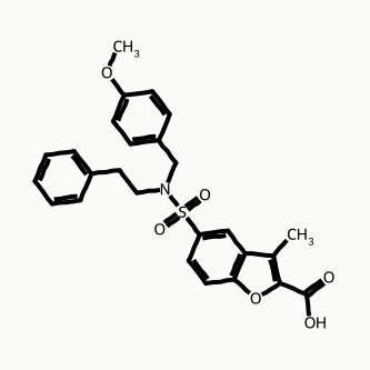 COc1ccc(CN(CCc2ccccc2)S(=O)(=O)c2ccc3oc(C(=O)O)c(C)c3c2)cc1